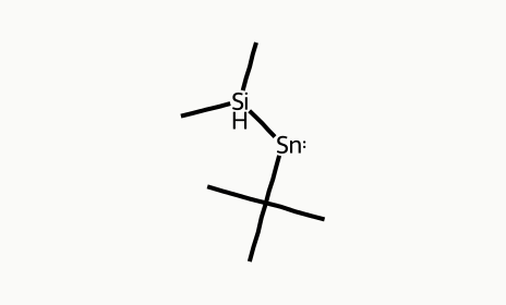 C[SiH](C)[Sn][C](C)(C)C